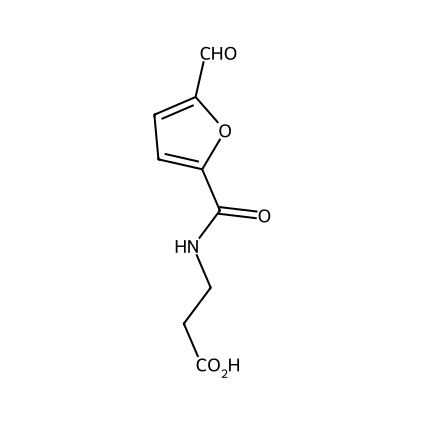 O=Cc1ccc(C(=O)NCCC(=O)O)o1